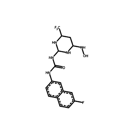 O=C(Nc1ccc2ccc(F)cc2c1)NC1NC(NO)CC(C(F)(F)F)N1